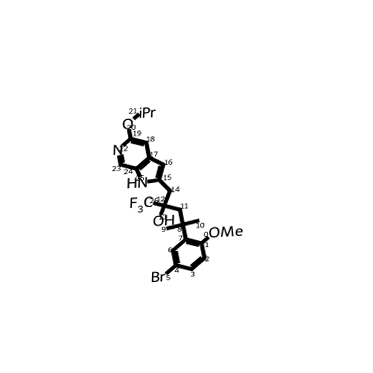 COc1ccc(Br)cc1C(C)(C)CC(O)(Cc1cc2cc(OC(C)C)ncc2[nH]1)C(F)(F)F